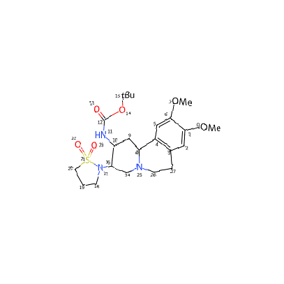 COc1cc2c(cc1OC)C1CC(NC(=O)OC(C)(C)C)C(N3CCCS3(=O)=O)CN1CC2